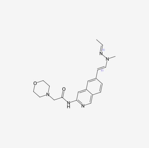 C/C=N/N(C)/C=C/c1ccc2cnc(NC(=O)CN3CCOCC3)cc2c1